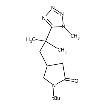 Cn1nnnc1C(C)(C)CC1CC(=O)N(C(C)(C)C)C1